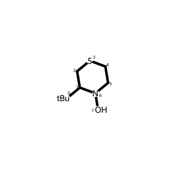 CC(C)(C)C1CSCCN1O